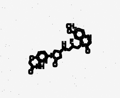 COc1ccc2ncc(=O)n(CC(F)CNC3CC(=O)N(c4ccc5c(n4)NC(=O)CO5)C3)c2c1